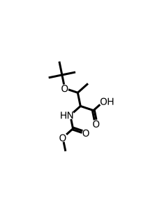 COC(=O)NC(C(=O)O)C(C)OC(C)(C)C